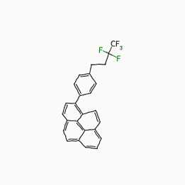 FC(F)(F)C(F)(F)CCc1ccc(-c2ccc3ccc4cccc5ccc2c3c45)cc1